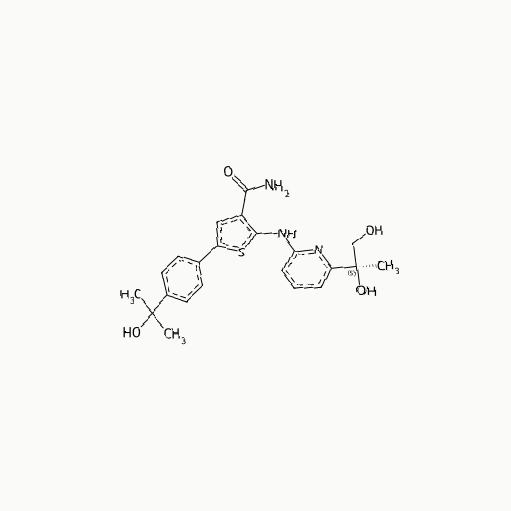 CC(C)(O)c1ccc(-c2cc(C(N)=O)c(Nc3cccc([C@](C)(O)CO)n3)s2)cc1